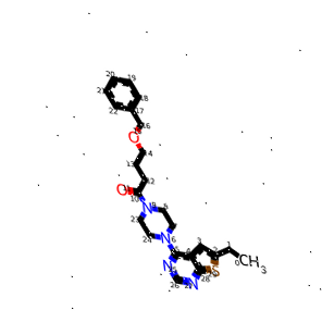 CCc1cc2c(N3CCN(C(=O)CCCOCc4ccccc4)CC3)ncnc2s1